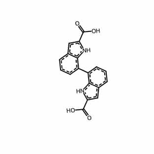 O=C(O)c1cc2cccc(-c3cccc4cc(C(=O)O)[nH]c34)c2[nH]1